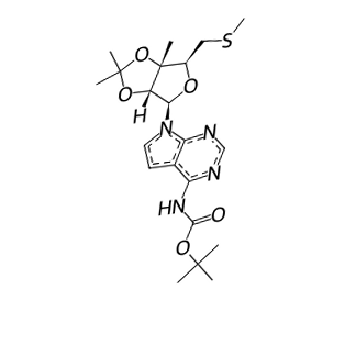 CSC[C@H]1O[C@@H](n2ccc3c(NC(=O)OC(C)(C)C)ncnc32)[C@@H]2OC(C)(C)O[C@]12C